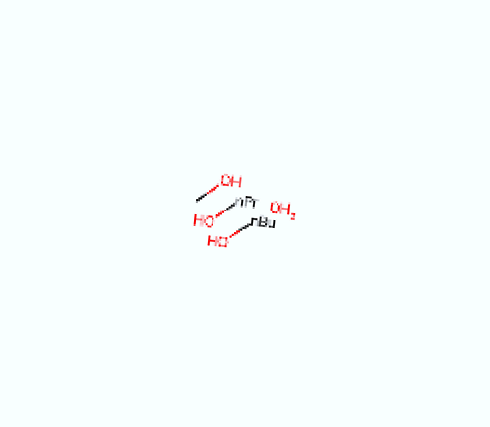 CCCCO.CCCO.CO.O